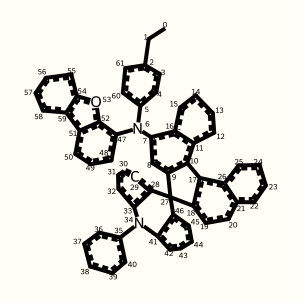 CCc1ccc(N(c2cc3c(c4ccccc24)-c2c(ccc4ccccc24)C32c3ccccc3N(c3ccccc3)c3ccccc32)c2cccc3c2oc2ccccc23)cc1